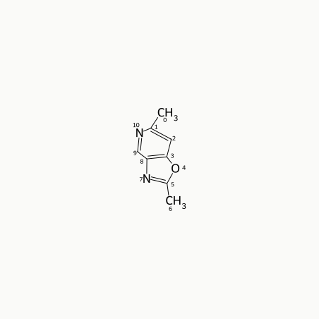 Cc1cc2oc(C)nc2cn1